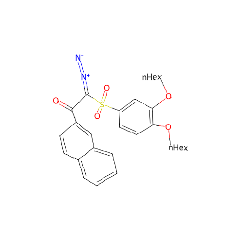 CCCCCCOc1ccc(S(=O)(=O)C(=[N+]=[N-])C(=O)c2ccc3ccccc3c2)cc1OCCCCCC